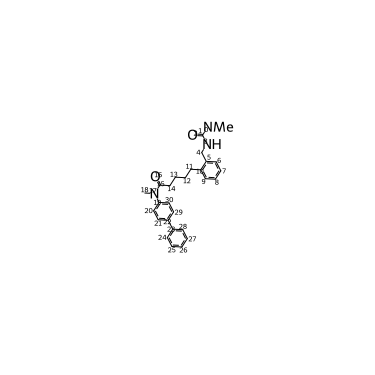 CNC(=O)NCc1ccccc1CCCCC(=O)N(C)c1ccc(-c2ccccc2)cc1